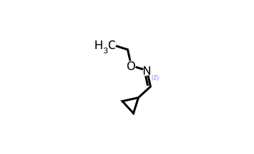 CCO/N=C\C1CC1